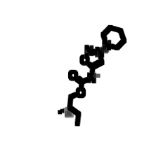 CC[C@H](C)COC(=O)[N-]c1c[n+](N2CCCCC2)no1